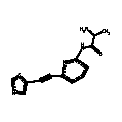 CC(N)C(=O)Nc1cccc(C#Cc2cncs2)n1